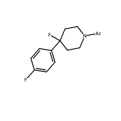 CC(=O)N1CCC(F)(c2ccc(F)cc2)CC1